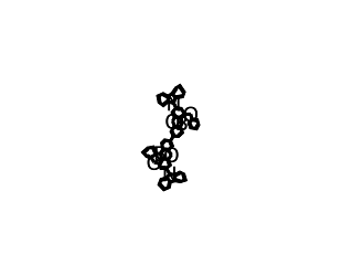 c1ccc2c(c1)Oc1cc(-n3c4ccccc4c4ccccc43)cc3c1B2c1ccc(-c2ccc4c(c2)Oc2cc(-n5c6ccccc6c6ccccc65)cc5c2B4c2ccccc2O5)cc1O3